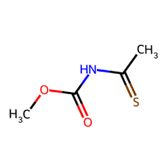 COC(=O)NC(C)=S